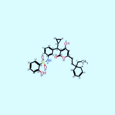 CCC1(CCc2cc(O)c(C(c3cccc(NS(=O)(=O)c4ccccc4O)c3)C3CC3)c(=O)o2)C=CC=CC1